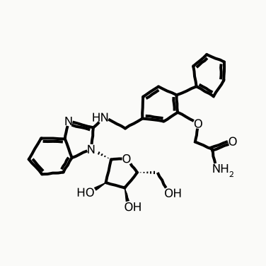 NC(=O)COc1cc(CNc2nc3ccccc3n2[C@@H]2O[C@H](CO)[C@@H](O)[C@H]2O)ccc1-c1ccccc1